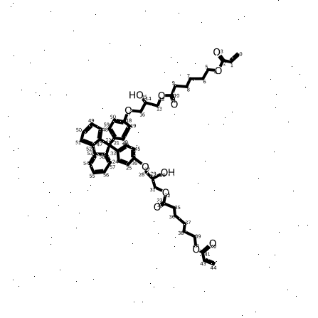 C=CC(=O)OCCCCCC(=O)OCC(O)COc1ccc(C2(c3ccc(OCC(O)COC(=O)CCCCCOC(=O)C=C)cc3)c3ccccc3-c3ccccc32)cc1